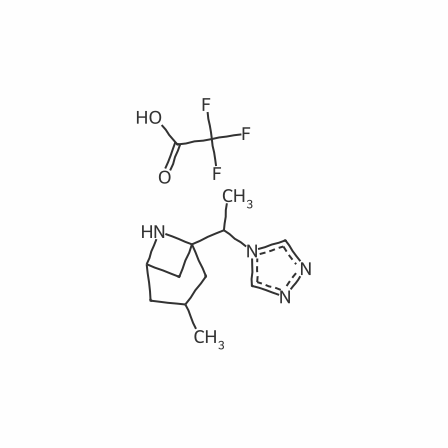 CC1CC2CC(C(C)n3cnnc3)(C1)N2.O=C(O)C(F)(F)F